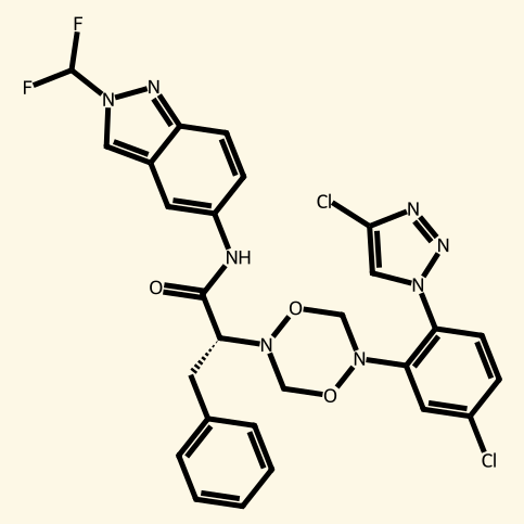 O=C(Nc1ccc2nn(C(F)F)cc2c1)[C@@H](Cc1ccccc1)N1CON(c2cc(Cl)ccc2-n2cc(Cl)nn2)CO1